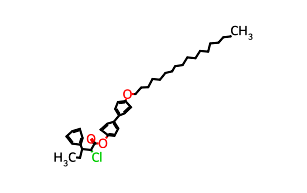 CCCCCCCCCCCCCCCCCCOc1ccc(-c2ccc(OC(=O)C(Cl)C(CC)c3ccccc3)cc2)cc1